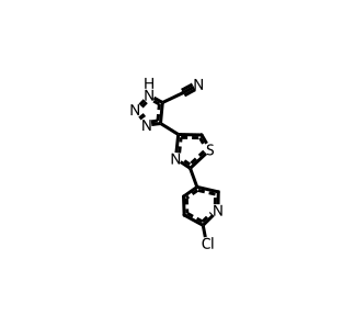 N#Cc1[nH]nnc1-c1csc(-c2ccc(Cl)nc2)n1